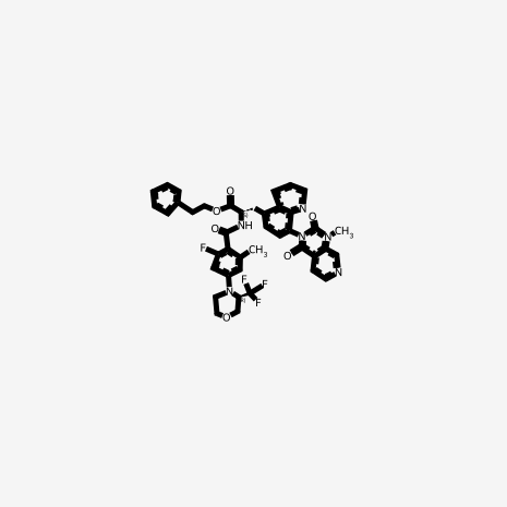 Cc1cc(N2CCOC[C@@H]2C(F)(F)F)cc(F)c1C(=O)N[C@@H](Cc1ccc(-n2c(=O)c3ccncc3n(C)c2=O)c2ncccc12)C(=O)OCCc1ccccc1